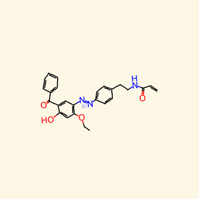 C=CC(=O)NCCc1ccc(/N=N/c2cc(C(=O)c3ccccc3)c(O)cc2OCC)cc1